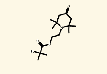 CCC(C)(C)C(=O)OCCN1C(C)(C)CC(=O)CC1(C)C